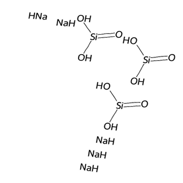 O=[Si](O)O.O=[Si](O)O.O=[Si](O)O.[NaH].[NaH].[NaH].[NaH].[NaH]